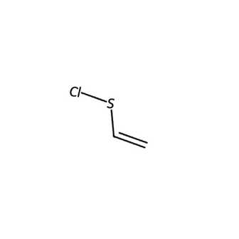 C=CSCl